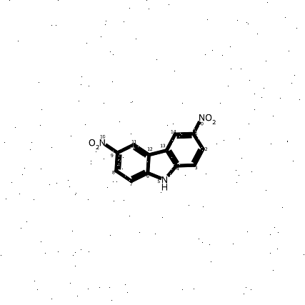 O=[N+]([O-])c1ccc2[nH]c3ccc([N+](=O)[O-])cc3c2c1